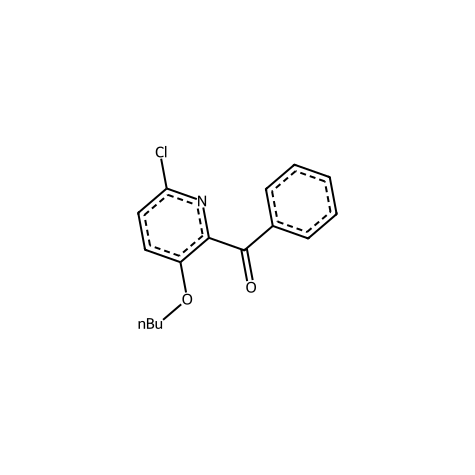 CCCCOc1ccc(Cl)nc1C(=O)c1ccccc1